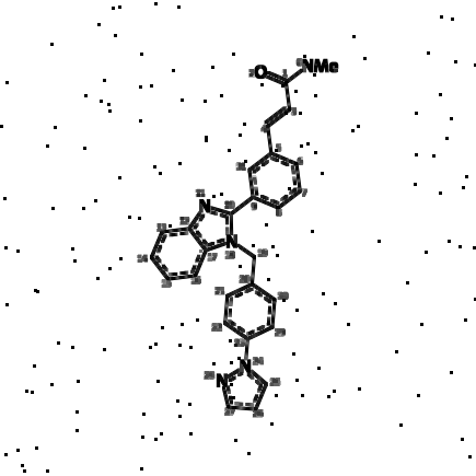 CNC(=O)/C=C/c1cccc(-c2nc3ccccc3n2Cc2ccc(-n3cccn3)cc2)c1